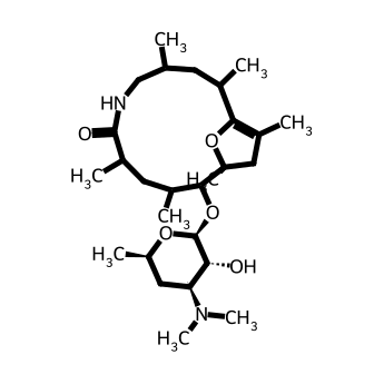 CC1=C2OC(C)(C1)C(O[C@@H]1O[C@H](C)C[C@H](N(C)C)[C@H]1O)C(C)CC(C)C(=O)NCC(C)CC2C